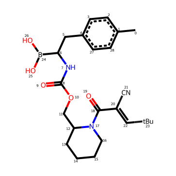 Cc1ccc(CC(NC(=O)OCC2CCCCN2C(=O)C(C#N)=CC(C)(C)C)B(O)O)cc1